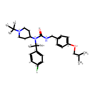 [2H]C([2H])([2H])N1CCC(N(C(=O)NCc2ccc(OCC(C)C)cc2)C([2H])([2H])c2ccc(F)cc2)CC1